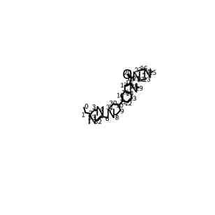 CCc1cnc(CN2CCC(c3ccc4c(c3)cc(C(=O)N3CCN(C)CC3)n4C)CC2)cn1